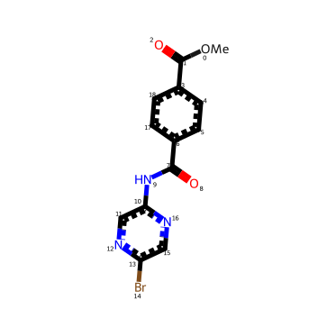 COC(=O)c1ccc(C(=O)Nc2cnc(Br)cn2)cc1